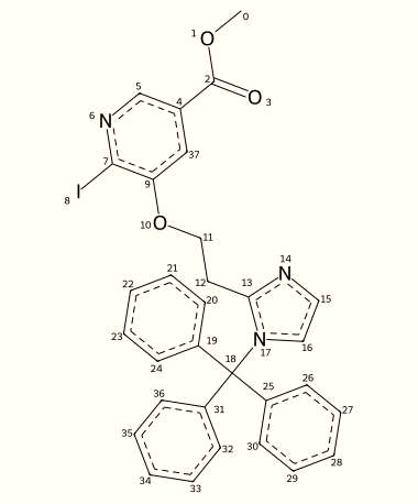 COC(=O)c1cnc(I)c(OCCc2nccn2C(c2ccccc2)(c2ccccc2)c2ccccc2)c1